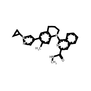 CNC(=O)c1cc2ccccc2c(N2CCCc3cc(-c4cnn(C5CC5)c4)c(C)cc32)n1